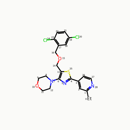 CCc1cc(-c2nc(N3CCOCC3)c(COCc3cc(Cl)ccc3Cl)s2)ccn1